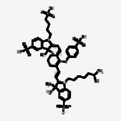 CC(S)CCCCC[N+]1=C(/C=C/C2=C(Oc3ccc(S(=O)(=O)O)cc3)C(=C/C=C3/N(CCCCS(=O)(=O)O)c4ccc(S(=O)(=O)O)cc4C3(C)C)/CCC2)C(C)(C)c2cc(S(=O)(=O)O)ccc21